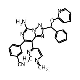 C=N/C=C\C(=N/C)c1c(-c2cccc(C#N)c2)nc(N)n2nc(C(Oc3ccccn3)c3ccccc3)nc12